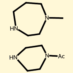 CC(=O)N1CCNCC1.CN1CCCNCC1